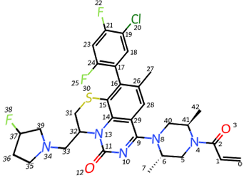 C=CC(=O)N1C[C@H](C)N(c2nc(=O)n3c4c(c(-c5cc(Cl)c(F)cc5F)c(C)cc24)SCC3CN2CCC(F)C2)C[C@H]1C